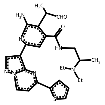 CCN(CC)C(C)CNC(=O)c1cc(-c2cnn3ccc(-c4cccs4)nc23)nc(N)c1C(C)C=O